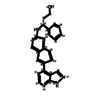 OCC[C@@H](Nc1ncc2cc(-c3ncnc4[nH]ncc34)ccc2n1)c1ccccc1